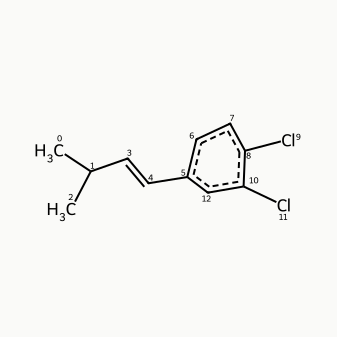 CC(C)/C=C/c1ccc(Cl)c(Cl)c1